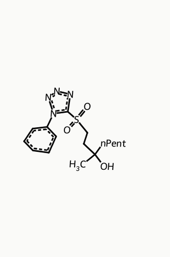 CCCCCC(C)(O)CCS(=O)(=O)c1nnnn1-c1ccccc1